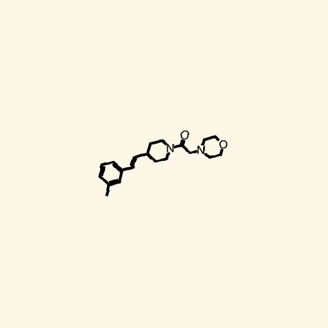 Cc1cccc(/C=C/C2CCN(C(=O)CN3CCOCC3)CC2)c1